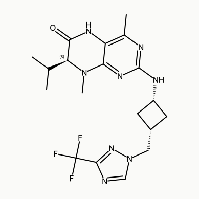 Cc1nc(N[C@H]2C[C@@H](Cn3cnc(C(F)(F)F)n3)C2)nc2c1NC(=O)[C@H](C(C)C)N2C